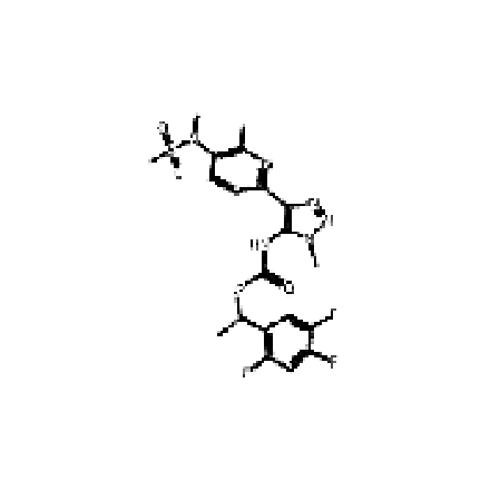 Cc1nc(-c2nnn(C)c2NC(=O)O[C@H](C)c2cc(F)c(F)cc2F)ccc1N(C)S(C)(=O)=O